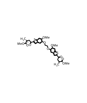 COC(=O)[C@@H](C)CC(=O)c1cc2cc(OCCOc3cc4cc(C(=O)C[C@H](C)C(=O)OC)sc4cc3OC)c(OC)cc2s1